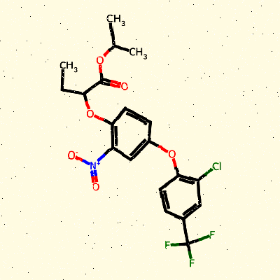 CCC(Oc1ccc(Oc2ccc(C(F)(F)F)cc2Cl)cc1[N+](=O)[O-])C(=O)OC(C)C